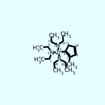 CC[N](CC)[Zr]([C]1=C(C)C=CC1)([N](CC)CC)[N](CC)CC